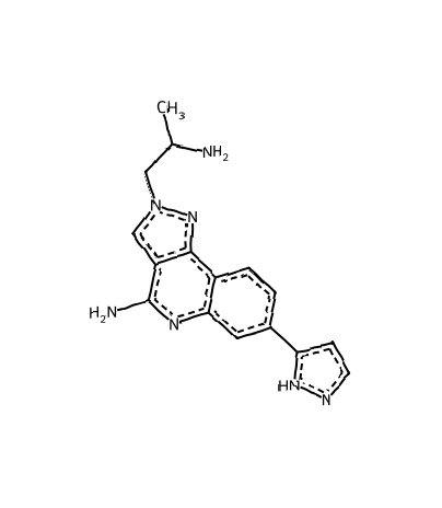 CC(N)Cn1cc2c(N)nc3cc(-c4ccn[nH]4)ccc3c2n1